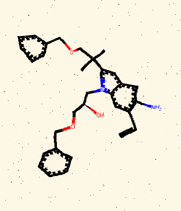 C=Cc1cc2c(cc1N)cc(C(C)(C)COCc1ccccc1)n2C[C@@H](O)COCc1ccccc1